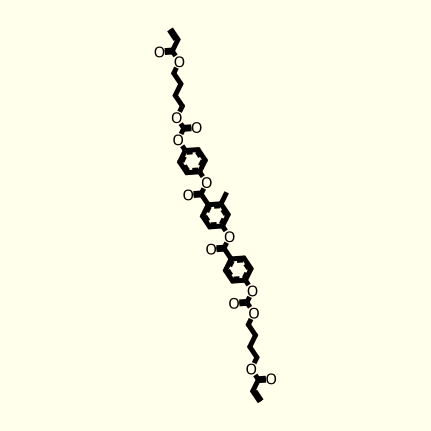 C=CC(=O)OCCCCOC(=O)Oc1ccc(OC(=O)c2ccc(OC(=O)c3ccc(OC(=O)OCCCCOC(=O)C=C)cc3)cc2C)cc1